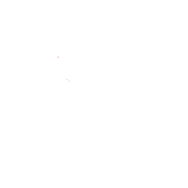 CC(O)CNC(=O)c1ccc(-c2ccc(C=O)s2)cc1